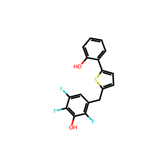 Oc1ccccc1-c1ccc(Cc2cc(F)c(F)c(O)c2F)s1